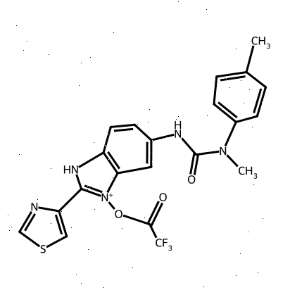 Cc1ccc(N(C)C(=O)Nc2ccc3[nH]c(-c4cscn4)[n+](OC(=O)C(F)(F)F)c3c2)cc1